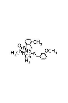 COc1cccc(C/N=C(\SC)SCc2c(C)cccc2-n2nnn(C)c2=O)c1